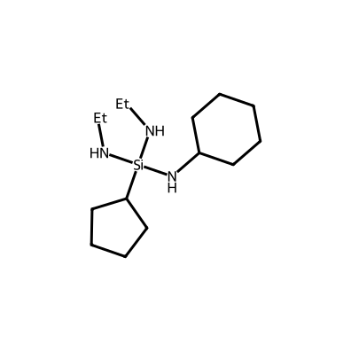 CCN[Si](NCC)(NC1CCCCC1)C1CCCC1